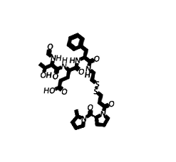 CC(O)C(NC=O)C(=O)NC(CCC(=O)O)C(=O)NC(Cc1ccccc1)C(=O)NCCSSCCC(=O)N1CCC[C@H]1C(=O)N1CCCC1C